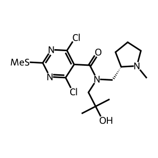 CSc1nc(Cl)c(C(=O)N(C[C@@H]2CCCN2C)CC(C)(C)O)c(Cl)n1